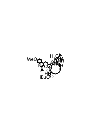 COc1ccc2c3c(c(C4CC4)nc2c1)O[C@]1(CC3)C[C@H]2C(=O)N[C@]3(C(=O)NS(=O)(=O)C4(C)CC4)C[C@H]3/C=C\CCCC[C@H](NC(=O)OCC(C)C)C(=O)N2C1